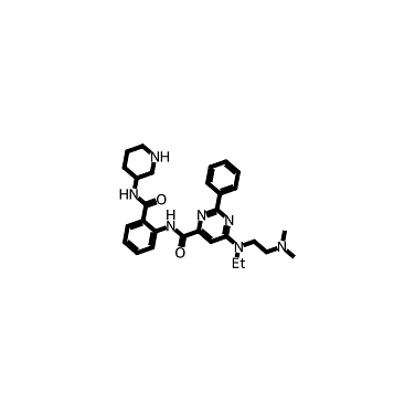 CCN(CCN(C)C)c1cc(C(=O)Nc2ccccc2C(=O)NC2CCCNC2)nc(-c2ccccc2)n1